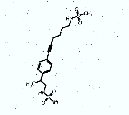 CC(CNS(=O)(=O)C(C)C)c1ccc(C#CCCCCNS(C)(=O)=O)cc1